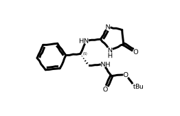 CC(C)(C)OC(=O)NC[C@@H](NC1=NCC(=O)N1)c1ccccc1